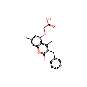 Cc1cc(OCC(=O)O)c2c(C)c(Cc3ccccc3)c(=O)oc2c1